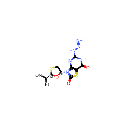 CCC(N=O)[C@H]1O[C@@H](n2c3c(sc2=O)C(=O)NC(NN=N)N3)CS1